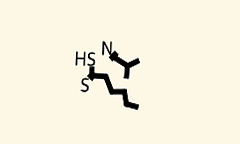 CC(C)C#N.CCCCCC(=S)S